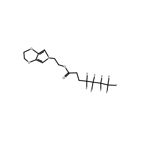 O=C(CCC(F)(F)C(F)(F)C(F)(F)C(F)(F)F)OCCn1cc2c(c1)OCCO2